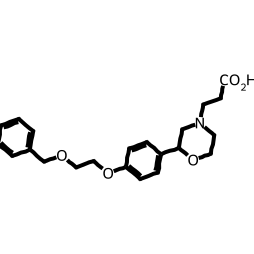 O=C(O)CCN1CCOC(c2ccc(OCCOCc3ccccc3)cc2)C1